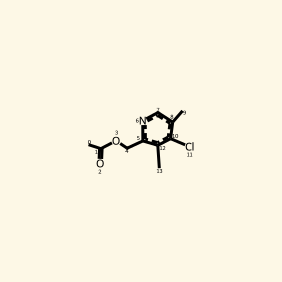 CC(=O)OCc1ncc(C)c(Cl)c1C